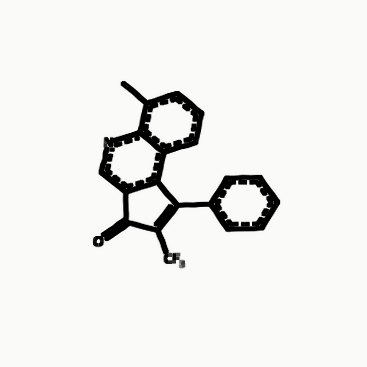 Cc1cccc2c3c(cnc12)C(=O)C(C(F)(F)F)=C3c1ccccc1